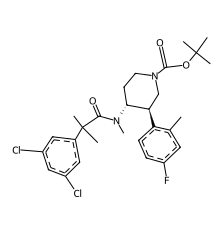 Cc1cc(F)ccc1[C@@H]1CN(C(=O)OC(C)(C)C)CC[C@H]1N(C)C(=O)C(C)(C)c1cc(Cl)cc(Cl)c1